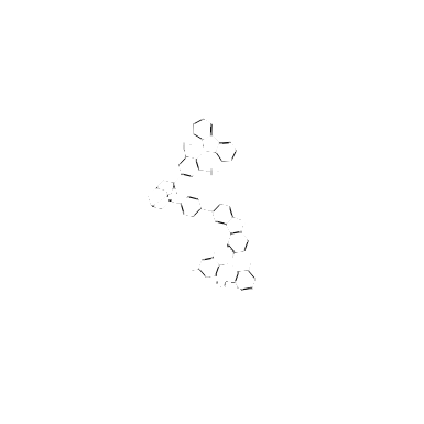 Cc1cc(C)c(B(c2ccc3sc4ccc(-c5ccc(C67CC8CC(C6)CC(c6cc(C(C)C)c(B9c%10ccccc%10-c%10ccccc%109)c(C(C)C)c6)(C8)C7)cc5)cc4c3c2)c2c(C)cc(C)cc2C)c(C)c1